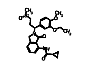 CCOc1cc(C(CC[S+](C)[O-])N2Cc3cccc(NC(=O)C4CC4)c3C2=O)ccc1OC